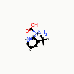 CC(C)(C)c1cccnc1N(N)C(=O)O